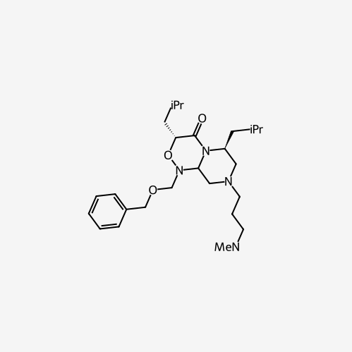 CNCCCN1CC2N(COCc3ccccc3)O[C@H](CC(C)C)C(=O)N2[C@@H](CC(C)C)C1